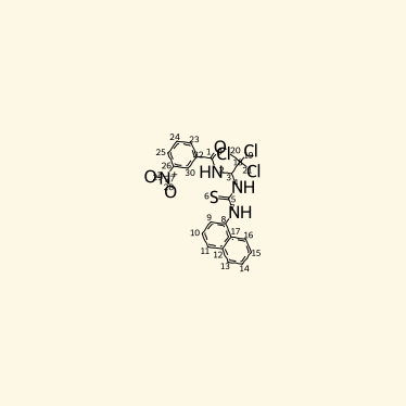 O=C(NC(NC(=S)Nc1cccc2ccccc12)C(Cl)(Cl)Cl)c1cccc([N+](=O)[O-])c1